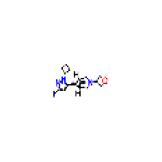 Ic1cc([C@H]2[C@@H]3CN(C4COC4)C[C@@H]32)n(C2CCC2)n1